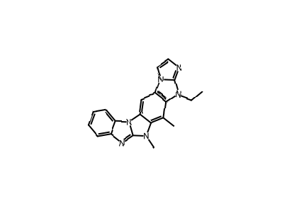 CCn1c2c(C)c3c(cc2n2ccnc12)n1c2ccccc2nc1n3C